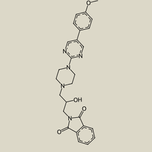 COc1ccc(-c2cnc(N3CCN(CC(O)CN4C(=O)c5ccccc5C4=O)CC3)nc2)cc1